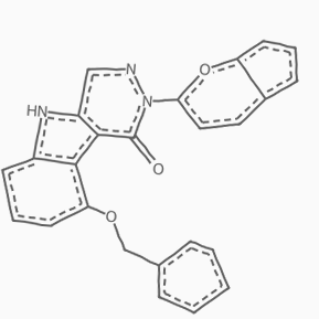 O=c1c2c(cnn1-c1ccc3cccc-3o1)[nH]c1cccc(OCc3ccccc3)c12